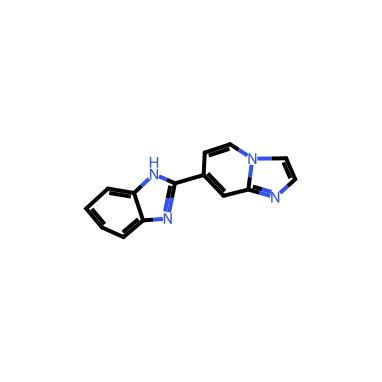 c1ccc2[nH]c(-c3ccn4ccnc4c3)nc2c1